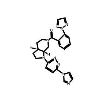 O=C(c1ccccc1-n1nccn1)N1CC[C@H]2CCN(c3ccc(-n4ccnc4)nn3)[C@H]2C1